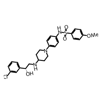 COc1ccc(S(=O)(=O)Nc2ccc(N3CCC(NC[C@H](O)c4cccc(Cl)c4)CC3)cc2)cc1